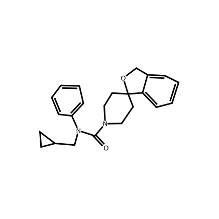 O=C(N1CCC2(CC1)OCc1ccccc12)N(CC1CC1)c1ccccc1